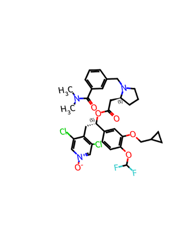 CN(C)C(=O)c1cccc(CN2CCC[C@H]2CC(=O)O[C@@H](Cc2c(Cl)c[n+]([O-])cc2Cl)c2ccc(OC(F)F)c(OCC3CC3)c2)c1